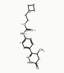 CC1CC(=O)NN=C1c1ccc(NC(=O)OCCC2CCC2)cc1